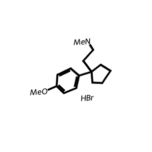 Br.CNCCC1(c2ccc(OC)cc2)CCCC1